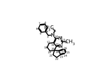 CCN(Cc1ccccc1)c1nc(C)nc2c1CCCC21CCc2ccccc21